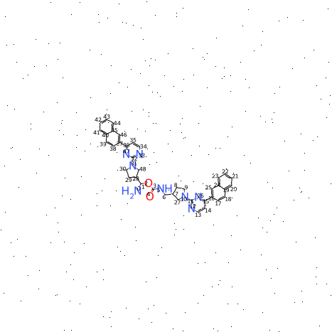 NC(OC(=O)NCC1CCN(c2nccc(-c3ccc4ccccc4c3)n2)C1)C1CCN(c2nccc(-c3ccc4ccccc4c3)n2)C1